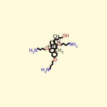 C[C@H](CCCO)[C@H]1CC[C@H]2C3[C@H](OCCCCN)CC4C[C@H](OCCCCN)CC[C@]4(C)[C@H]3C[C@H](OCCCCN)[C@]12C